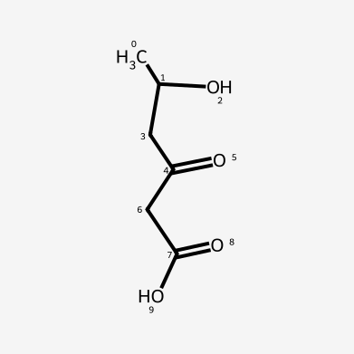 CC(O)CC(=O)CC(=O)O